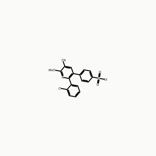 CCS(=O)(=O)c1ccc(-c2cc(C#N)c(OC)nc2-c2ccccc2Cl)cc1